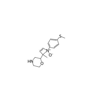 CSc1ccc([N+]2([O-])C=CC2(C)C2CNCCO2)cc1